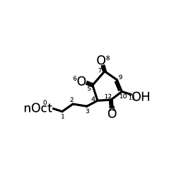 CCCCCCCCCCCC1C(=O)C(=O)C=C(O)C1=O